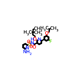 CCC(C)(C)CCOc1nc(-c2cc(F)cc(OCC(C)C)c2)ccc1C(=O)NS(=O)(=O)c1cccc(N)n1